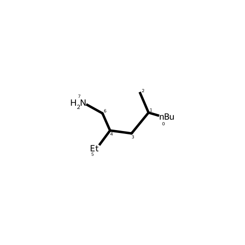 CCCCC(C)CC(CC)CN